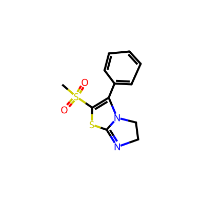 CS(=O)(=O)C1=C(c2ccccc2)N2CCN=C2S1